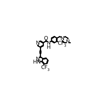 CN1CCN(Cc2ccc(NC(=O)c3cncc(C#Cc4n[nH]c5c(C(F)(F)F)cccc45)c3)cc2C(F)(F)F)CC1